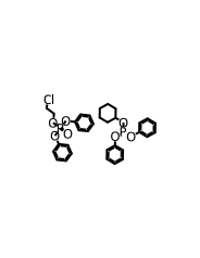 O=P(OCCCl)(Oc1ccccc1)Oc1ccccc1.c1ccc(OP(Oc2ccccc2)OC2CCCCC2)cc1